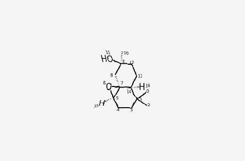 CC1(C)CC[C@H]2O[C@]23C[C@@](C)(O)CC[C@@H]13